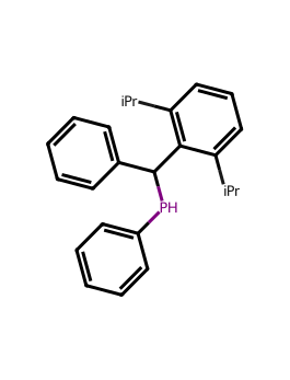 CC(C)c1cccc(C(C)C)c1C(Pc1ccccc1)c1ccccc1